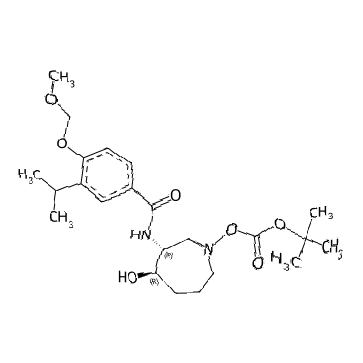 COCOc1ccc(C(=O)N[C@@H]2CN(OC(=O)OC(C)(C)C)CCC[C@H]2O)cc1C(C)C